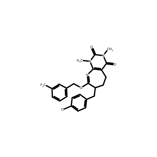 Cn1c2c(c(=O)n(C)c1=O)CCC(Cc1ccc(Cl)cc1)C(OCc1cccc(C(F)(F)F)c1)=N2